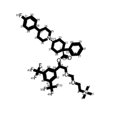 C[Si](C)(C)CCOCOCC(OC(=O)[C@]1(c2ccccc2)CC[C@@H](N2CCC(c3ccc(F)cc3)CC2)CC1)c1cc(C(F)(F)F)cc(C(F)(F)F)c1